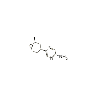 C[C@H]1C[C@@H](c2cnc(N)cn2)CCO1